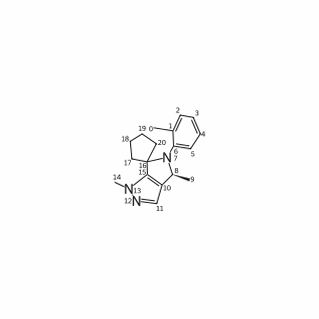 Cc1ccccc1N1[C@@H](C)c2cnn(C)c2C12CCCC2